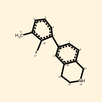 Cc1cccc(-c2ccc3c(c2)CCNC3)c1F